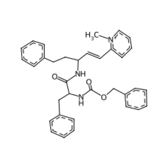 C[n+]1ccccc1/C=C/C(CCc1ccccc1)NC(=O)C(Cc1ccccc1)NC(=O)OCc1ccccc1